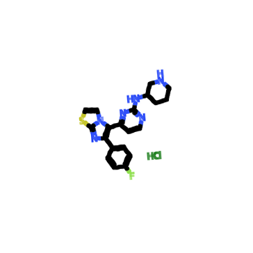 Cl.Fc1ccc(-c2nc3sccn3c2-c2ccnc(NC3CCCNC3)n2)cc1